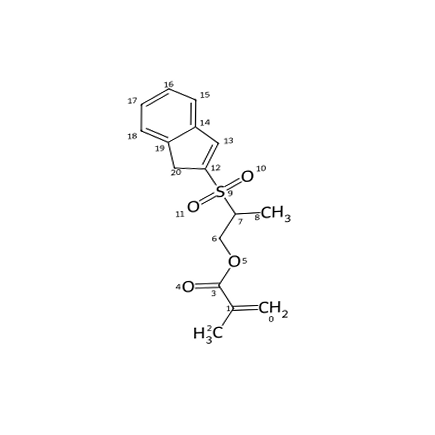 C=C(C)C(=O)OCC(C)S(=O)(=O)C1=Cc2ccccc2C1